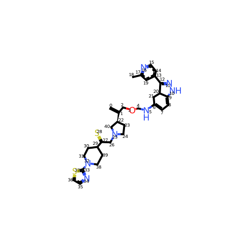 C=C(COCNC1=CC=C2NN=C(c3ccnc(C)c3)C2C1)[C@H]1CCN(CC(=S)C2CCN(c3nccs3)CC2)C1